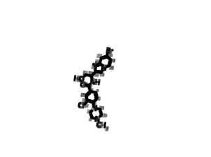 CN1CCN(c2ccc(C(=O)NC(CO)c3cn4ccc(Br)cc4n3)cc2Cl)CC1